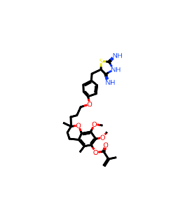 C=C(C)C(=O)Oc1c(C)c2c(c(OC)c1OC)OC(C)(CCCOc1ccc(CC3SC(=N)NC3=N)cc1)CC2